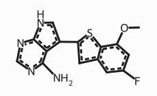 COc1cc(F)cc2cc(-c3c[nH]c4ncnc(N)c34)sc12